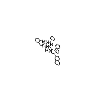 C1=C(c2ccc3ccccc3c2)c2oc3ccccc3c2C(C2=NC(c3ccccc3)NC(c3ccc4ccccc4c3)N2)N1